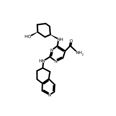 NC(=O)c1cnc(NC2CCc3cnccc3C2)nc1N[C@@H]1CCC[C@H](O)C1